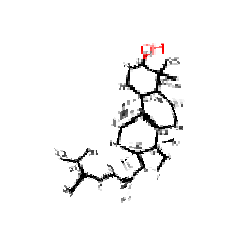 C=C(CC[C@@H](C)[C@H]1CC[C@@]2(C)C3=C(CC[C@]12C)[C@@]1(C)CCC(O)C(C)(C)C1CC3)C(C)C